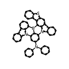 c1ccc(N(c2ccccc2)c2cc3c4c(c2)-n2c5ccccc5c5cc6sc7ccccc7c6c(c52)B4c2cccc4c5ccccc5n-3c24)cc1